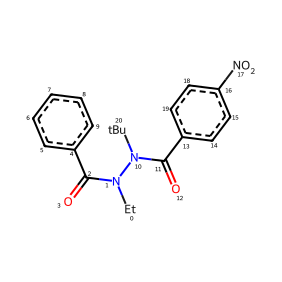 CCN(C(=O)c1ccccc1)N(C(=O)c1ccc([N+](=O)[O-])cc1)C(C)(C)C